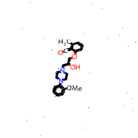 COc1ccccc1N1CCN(CC(O)COC2=CC=CC(C)C2=C=O)CC1